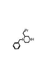 CC(C)CC1CNCCN1Cc1ccccc1